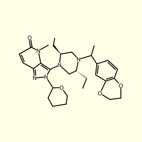 CC[C@H]1CN(C(C)c2ccc3c(c2)OCCO3)[C@H](CC)CN1c1c2c(ccc(=O)n2C)nn1C1CCCCO1